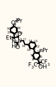 CCCc1cc(C(O)(C(F)(F)F)C(F)(F)F)ccc1-c1cccc(CCN2C(=O)NC(CC)(c3ccc(OC(C)C)cc3)C2=O)c1